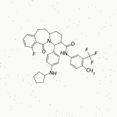 Cc1ccc(NC(=O)C2CCC3CCc4cccc(F)c4C(=O)N3C2c2ccc(NC3CCCC3)cc2)cc1C(F)(F)F